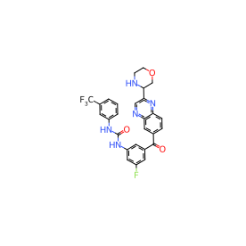 O=C(Nc1cc(F)cc(C(=O)c2ccc3nc(C4COCCN4)cnc3c2)c1)Nc1cccc(C(F)(F)F)c1